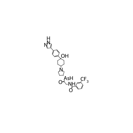 O=C(CNC(=O)c1cccc(C(F)(F)F)c1)[AsH][C@@H]1CCN(C2CCC(O)(c3ccc(-c4cn[nH]c4)cc3)CC2)C1